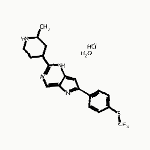 CC1CC(c2ncc3nc(-c4ccc(SC(F)(F)F)cc4)cc-3[nH]2)CCN1.Cl.O